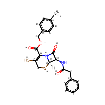 O=C(Cc1ccccc1)NC1C(=O)N2C(C(=O)OCc3ccc([N+](=O)[O-])cc3)=C(S)CS[C@H]12